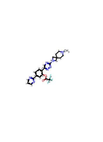 CN1CCC2(CC1)CN(c1ncc(-c3ccc(-c4ncccn4)cc3OC(=O)C(F)(F)F)nn1)C2